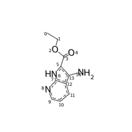 CCOC(=O)c1[nH]c2ncccc2c1N